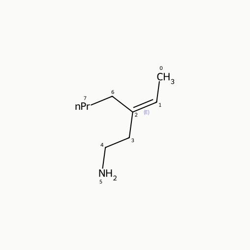 C/C=C(/CCN)CCCC